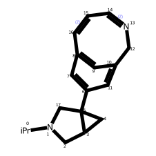 CC(C)N1CC2CC2(c2cc3cc(c2)C/N=C\C=C/3)C1